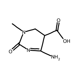 CN1CC(C(=O)O)C(N)=NC1=O